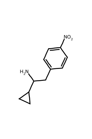 NC(Cc1ccc([N+](=O)[O-])cc1)C1CC1